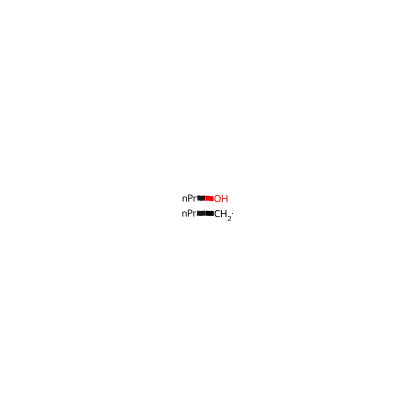 CCCO.[CH2]CCC